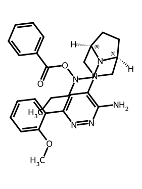 CCCN(CN1[C@@H]2CC[C@H]1CN(c1cc(-c3ccccc3OC)nnc1N)C2)OC(=O)c1ccccc1